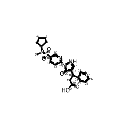 CN(C1CCCC1)S(=O)(=O)c1ccc(-n2[nH]cc(C(CC(=O)O)c3cccnc3)c2=O)nc1